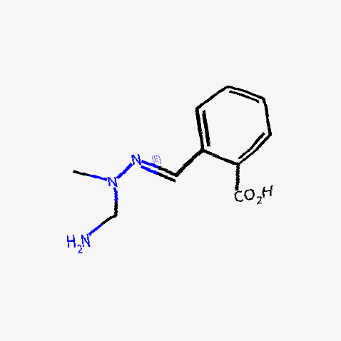 CN(CN)/N=C/c1ccccc1C(=O)O